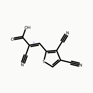 N#C/C(=C\c1scc(C#N)c1C#N)C(=O)O